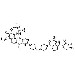 Cn1nc(C2CCC(=O)NC2=O)c2cccc(C(=O)N3CCN(CC4CCN(c5ncc(Cl)c(Nc6ccc7c(c6)c6c(c(=O)n7C)OCC(F)(F)C(C7CC7)N6)n5)CC4)CC3)c21